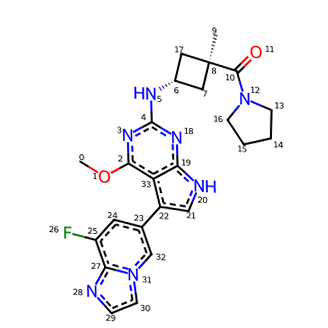 COc1nc(N[C@H]2C[C@](C)(C(=O)N3CCCC3)C2)nc2[nH]cc(-c3cc(F)c4nccn4c3)c12